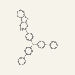 c1ccc(-c2ccc(N(c3ccc(-c4ccccc4)cc3)c3ccc(-c4cc5sc6ccccc6c5cn4)cc3)cc2)cc1